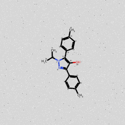 Cc1ccc(-c2nn(C(C)C)c(-c3ccc(C)cc3)c2O)cc1